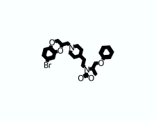 O=C1OCC(COc2ccccc2)N1CCC1CCN(CC2COc3ccc(Br)cc3O2)CC1